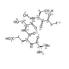 CC[C@H](C)[C@H](N)C(=O)N[C@@H](CCC(=O)O)C(=O)N[C@H](C(=O)N[C@@H](CC(=O)O)C(=O)C(=O)CF)[C@@H](C)O